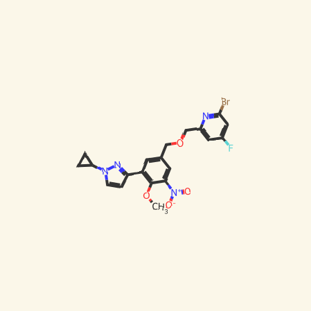 COc1c(-c2ccn(C3CC3)n2)cc(COCc2cc(F)cc(Br)n2)cc1[N+](=O)[O-]